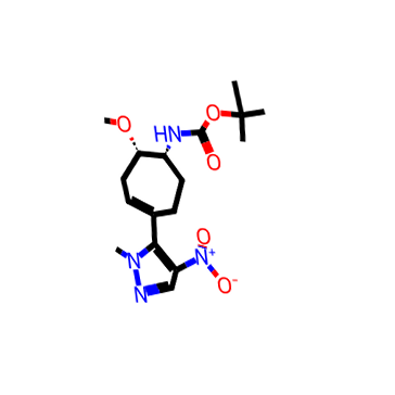 CO[C@H]1CC=C(c2c([N+](=O)[O-])cnn2C)CC[C@H]1NC(=O)OC(C)(C)C